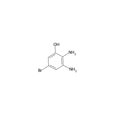 Nc1cc(Br)cc(O)c1N